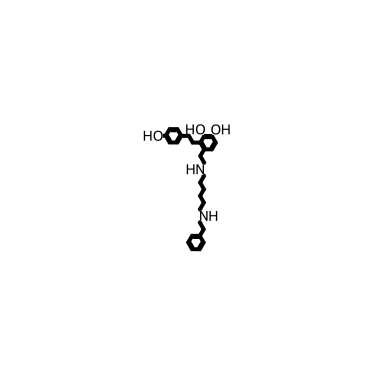 Oc1ccc(CCc2c(CCNCCCCCCNCCc3ccccc3)ccc(O)c2O)cc1